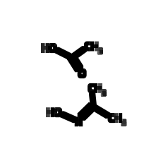 CC(=O)O.CC(C)=NO